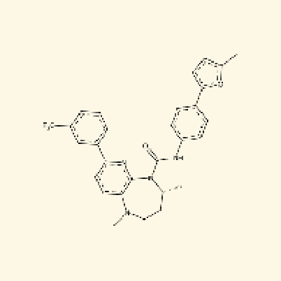 Cc1ccc(-c2ccc(NC(=O)N3c4nc(-c5cccc(C(F)(F)F)c5)ccc4N(C)CC[C@H]3C)cc2)o1